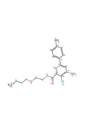 CCCCOCCOC(=O)c1nc(-c2ccc(C)cc2)cc(N)c1Cl